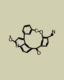 COc1cc2c3cc(ccc3n1)C(=O)c1ccc(C#N)c(c1)OCc1cccc-2c1